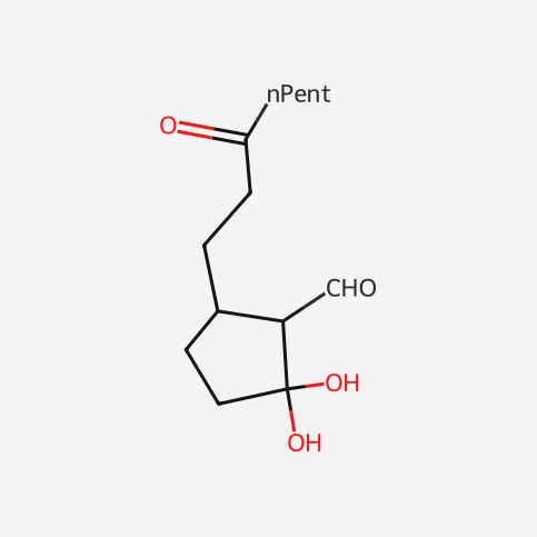 CCCCCC(=O)CCC1CCC(O)(O)C1C=O